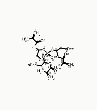 C=C(C)C(=O)OC(CCCCCCCCCCC)OP(=O)(OC(CCCCCCCCCCC)OC(=O)C(=C)C)OC(CCCCCCCCCCC)OC(=O)C(=C)C